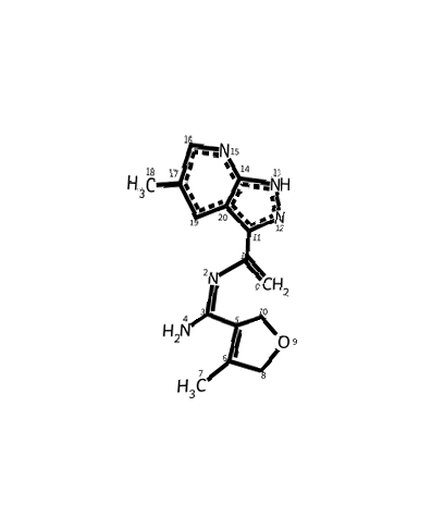 C=C(/N=C(/N)C1=C(C)COC1)c1n[nH]c2ncc(C)cc12